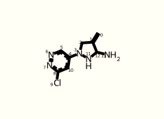 C=C1CN(c2cnnc(Cl)c2)NC1N